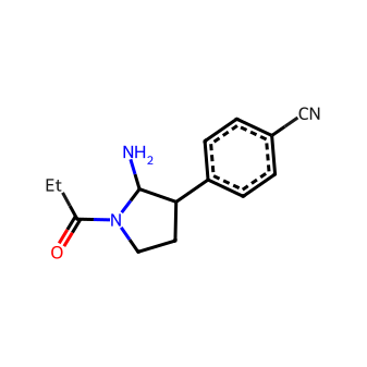 CCC(=O)N1CCC(c2ccc(C#N)cc2)C1N